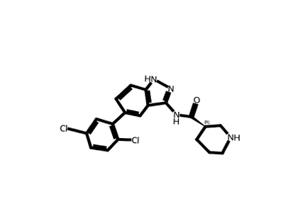 O=C(Nc1n[nH]c2ccc(-c3cc(Cl)ccc3Cl)cc12)[C@@H]1CCCNC1